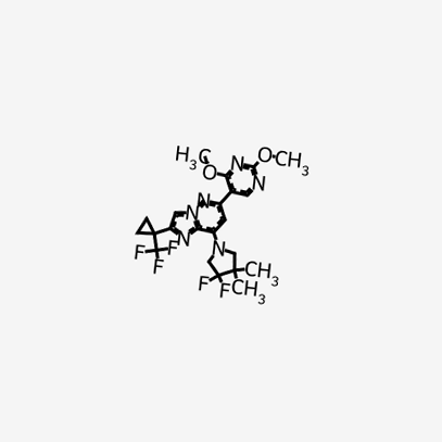 COc1ncc(-c2cc(N3CC(C)(C)C(F)(F)C3)c3nc(C4(C(F)(F)F)CC4)cn3n2)c(OC)n1